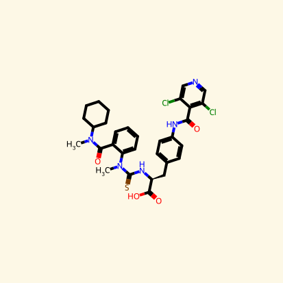 CN(C(=S)N[C@@H](Cc1ccc(NC(=O)c2c(Cl)cncc2Cl)cc1)C(=O)O)c1ccccc1C(=O)N(C)C1CCCCC1